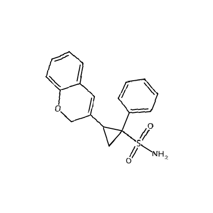 NS(=O)(=O)C1(c2ccccc2)CC1C1=Cc2ccccc2OC1